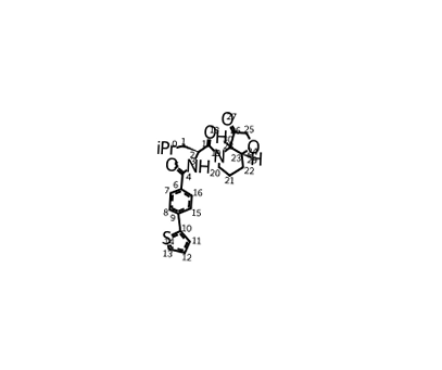 CC(C)C[C@H](NC(=O)c1ccc(-c2cccs2)cc1)C(=O)N1CCC[C@H]2OCC(=O)[C@H]21